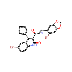 O=C(/C=C/c1cc2c(cc1Br)OCO2)c1c(-c2ccccc2)c2cc(Br)ccc2[nH]c1=O